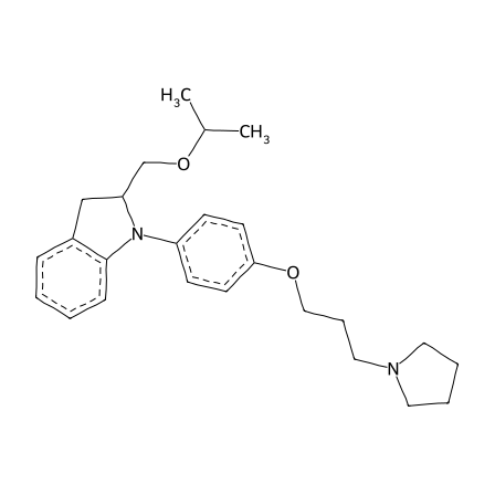 CC(C)OCC1Cc2ccccc2N1c1ccc(OCCCN2CCCC2)cc1